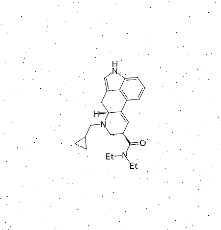 CCN(CC)C(=O)[C@@H]1C=C2c3cccc4[nH]cc(c34)C[C@H]2N(CC2CC2)C1